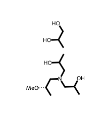 CC(O)CO.CO[C@@H](C)CN(CC(C)O)CC(C)O